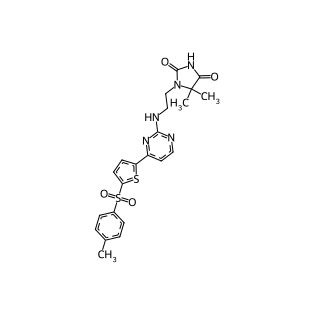 Cc1ccc(S(=O)(=O)c2ccc(-c3ccnc(NCCN4C(=O)NC(=O)C4(C)C)n3)s2)cc1